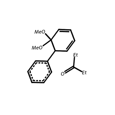 CCC(=O)CC.COC1(OC)C=CC=CC1c1ccccc1